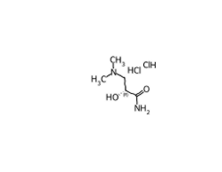 CN(C)C[C@@H](O)C(N)=O.Cl.Cl